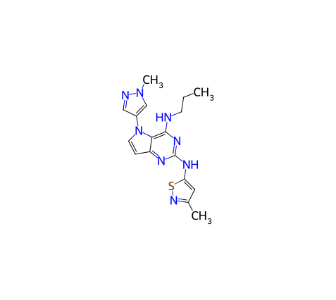 CCCNc1nc(Nc2cc(C)ns2)nc2ccn(-c3cnn(C)c3)c12